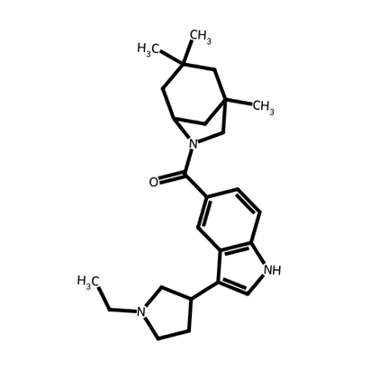 CCN1CCC(c2c[nH]c3ccc(C(=O)N4CC5(C)CC4CC(C)(C)C5)cc23)C1